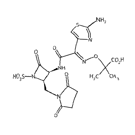 CC(C)(ON=C(C(=O)N[C@@H]1C(=O)N(S(=O)(=O)O)[C@@H]1CN1C(=O)CCC1=O)c1csc(N)n1)C(=O)O